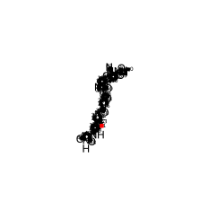 CCN(C)S(=O)(=O)Nc1ccc(F)c(Oc2ccc3ncn([C@H]4COC5(CCN(C(=O)CN6CCC(c7ccc(NC8CCC(=O)NC8=O)cc7F)C(F)(F)C6)CC5)C4)c(=O)c3c2)c1C#N